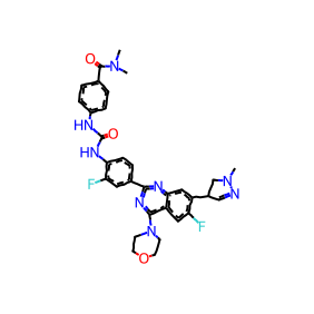 CN1CC(c2cc3nc(-c4ccc(NC(=O)Nc5ccc(C(=O)N(C)C)cc5)c(F)c4)nc(N4CCOCC4)c3cc2F)C=N1